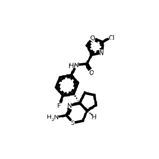 NC1=N[C@@]2(c3cc(NC(=O)c4coc(Cl)n4)ccc3F)CCC[C@H]2CS1